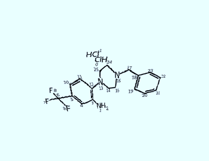 Cl.Cl.Nc1cc(C(F)(F)F)ccc1N1CCN(Cc2ccccc2)CC1